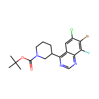 CC(C)(C)OC(=O)N1CCCC(c2ncnc3c(F)c(Br)c(Cl)cc23)C1